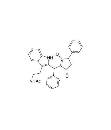 CC(=O)NCCc1c(C(C2=C(O)C(c3ccccc3)CC2=O)c2ccccn2)[nH]c2ccccc12